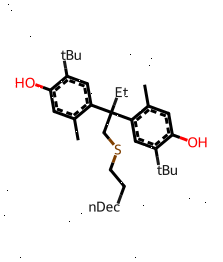 CCCCCCCCCCCCSCC(CC)(c1cc(C(C)(C)C)c(O)cc1C)c1cc(C(C)(C)C)c(O)cc1C